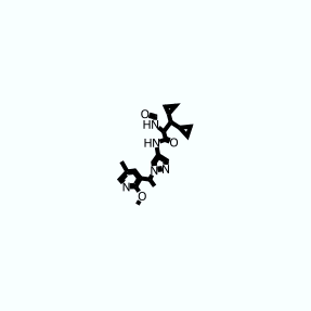 COc1ncc(C)cc1C(C)n1cc(NC(=O)C(NC=O)C(C2CC2)C2CC2)cn1